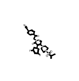 CC(C)S(=O)(=O)N1CCN(c2cnn(CC(=O)c3ccc(C#N)cc3)c(=O)c2-c2cc(F)cc(F)c2)CC1